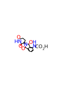 O=C(O)Nc1cccc2c1C(=O)N([C@@H]1CCC(=O)NC1=O)C2=O